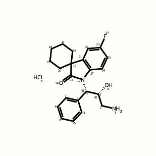 Cl.NC[C@@H](O)[C@H](c1ccccc1)N1C(=O)C2(CCCCC2)c2cc(F)ccc21